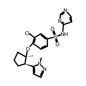 Cn1nccc1[C@H]1CCC[C@@]1(C)Oc1ccc(S(=O)(=O)Nc2ccncn2)cc1Cl